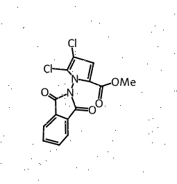 COC(=O)c1cc(Cl)c(Cl)n1N1C(=O)c2ccccc2C1=O